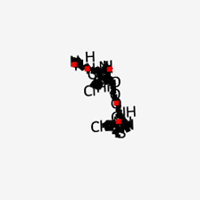 Cc1sc2c(c1C)C(c1ccc(Cl)cc1)=NC(CC(=O)NCCOCCOCCNC(=O)c1sc3c(c1C)C(c1ccc(Cl)cc1)=NC(CC(=O)NCCCN1CCN(C)CC1)c1nnc(C)n1-3)c1nnc(C)n1-2